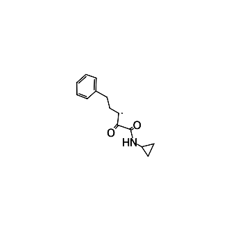 O=C([CH]CCc1ccccc1)C(=O)NC1CC1